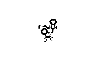 CC(C)CCn1c(CN2C(=O)C(=O)c3ccccc32)nc2ccccc21